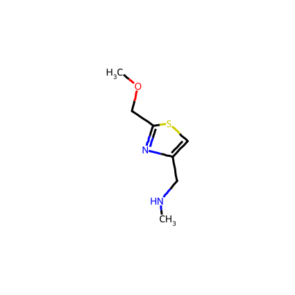 CNCc1csc(COC)n1